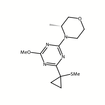 COc1nc(N2CCOC[C@H]2C)nc(C2(SC)CC2)n1